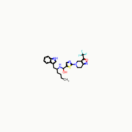 CCCCC(Cc1c[nH]c2ccccc12)NC(O)c1cnc(N2CCc3noc(C(F)(F)F)c3C2)s1